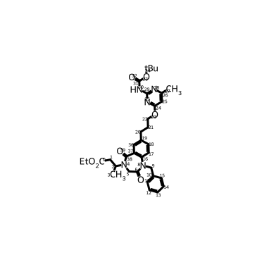 CCOC(=O)CC(C)N1CC(=O)N(Cc2ccccc2)c2ccc(CCCOc3cc(C)nc(NC(=O)OC(C)(C)C)n3)cc2C1=O